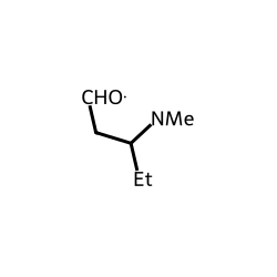 CCC(C[C]=O)NC